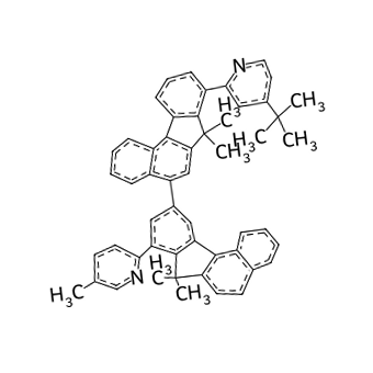 Cc1ccc(-c2cc(-c3cc4c(c5ccccc35)-c3cccc(-c5cc(C(C)(C)C)ccn5)c3C4(C)C)cc3c2C(C)(C)c2ccc4ccccc4c2-3)nc1